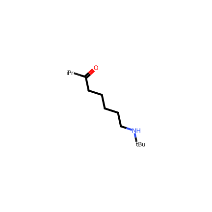 CC(C)C(=O)CCCCCNC(C)(C)C